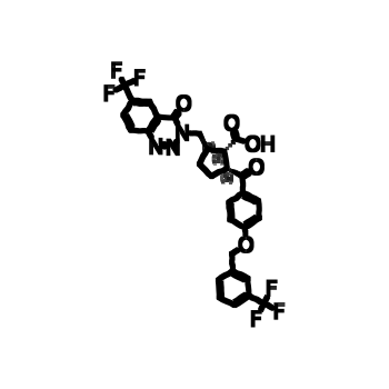 O=C(O)[C@H]1[C@H](Cn2nnc3ccc(C(F)(F)F)cc3c2=O)CC[C@@H]1C(=O)c1ccc(OCc2cccc(C(F)(F)F)c2)cc1